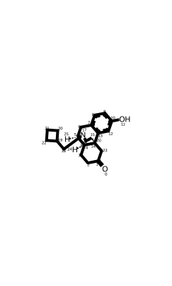 O=C1CC[C@H]2[C@H]3Cc4ccc(O)cc4[C@@]2(CCN3CC2CCC2)C1